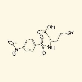 O=C(O)C(CCS)NS(=O)(=O)c1ccc([N+](=O)[O-])cc1